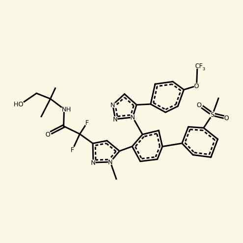 Cn1nc(C(F)(F)C(=O)NC(C)(C)CO)cc1-c1ccc(-c2cccc(S(C)(=O)=O)c2)cc1-n1nncc1-c1ccc(OC(F)(F)F)cc1